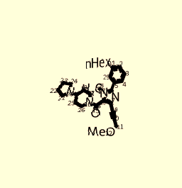 CCCCCCc1cccc(-c2nc(C#CCOC)c(C(=O)N3CCC(N4CCCC4)CC3)n2C)c1